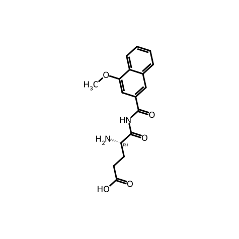 COc1cc(C(=O)NC(=O)[C@@H](N)CCC(=O)O)cc2ccccc12